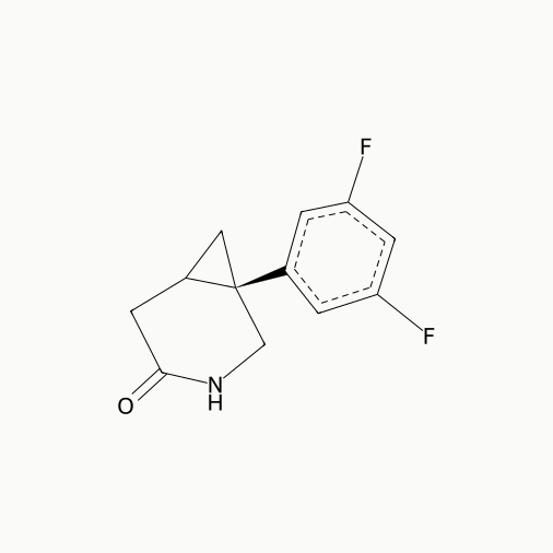 O=C1CC2C[C@]2(c2cc(F)cc(F)c2)CN1